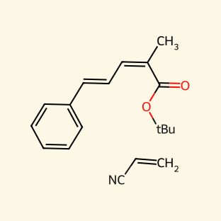 C=CC#N.CC(=CC=Cc1ccccc1)C(=O)OC(C)(C)C